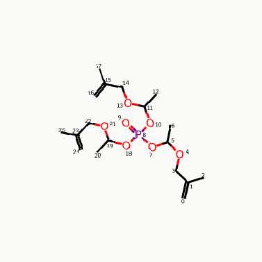 C=C(C)COC(C)OP(=O)(OC(C)OCC(=C)C)OC(C)OCC(=C)C